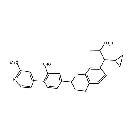 COc1cc(-c2ccc(C3CCc4ccc(C(C5CC5)C(C)C(=O)O)cc4O3)cc2C=O)ccn1